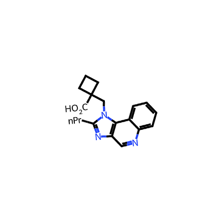 CCCc1nc2cnc3ccccc3c2n1CC1(C(=O)O)CCC1